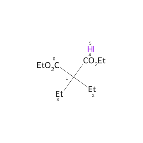 CCOC(=O)C(CC)(CC)C(=O)OCC.I